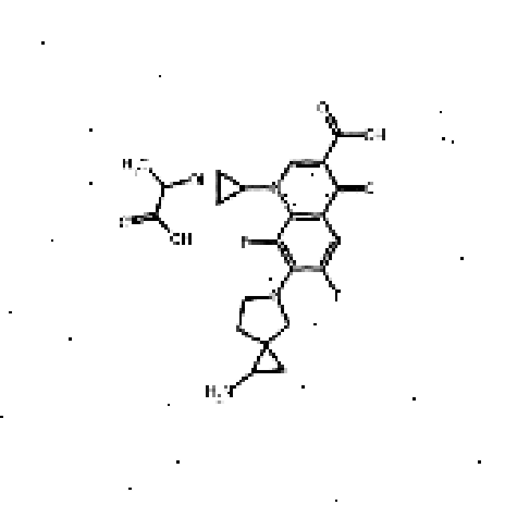 CC(O)C(=O)O.NC1CC12CCN(c1c(F)cc3c(=O)c(C(=O)O)cn(C4CC4)c3c1F)C2